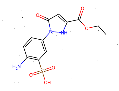 CCOC(=O)c1cc(=O)n(-c2ccc(N)c(S(=O)(=O)O)c2)[nH]1